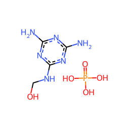 Nc1nc(N)nc(NCO)n1.O=P(O)(O)O